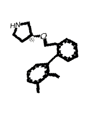 Cc1cccc(-c2ccccc2CO[C@H]2CCNC2)c1C